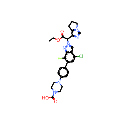 CCOC(=O)C(c1ncn2c1CCC2)n1cc2c(Cl)cc(-c3ccc(N4CCN(C(=O)O)CC4)cc3)c(F)c2n1